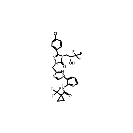 O=C(Nc1ncccc1-n1cnc(Cn2nc(-c3ccc(Cl)cc3)n(C[C@H](O)C(F)(F)F)c2=O)n1)C1(C(F)(F)F)CC1